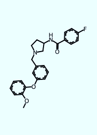 COc1ccccc1Oc1cccc(CN2CCC(NC(=O)c3ccc(F)cc3)C2)c1